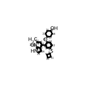 Cc1cc(-c2cc(SC3CCC3)ccc2OC2CCC(O)CC2)c2cc[nH]c2[n+]1[O-]